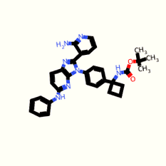 CC(C)(C)OC(=O)NC1(c2ccc(-n3c(-c4cccnc4N)nc4ccc(Nc5ccccc5)nc43)cc2)CCC1